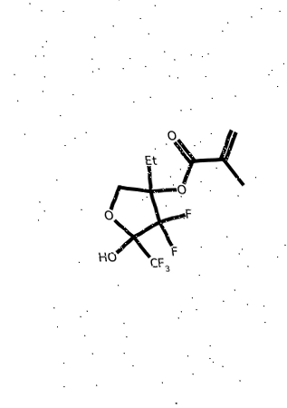 C=C(C)C(=O)OC1(CC)COC(O)(C(F)(F)F)C1(F)F